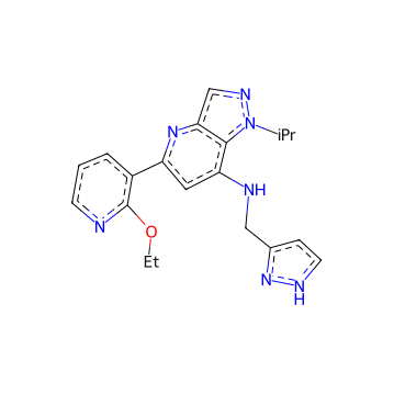 CCOc1ncccc1-c1cc(NCc2cc[nH]n2)c2c(cnn2C(C)C)n1